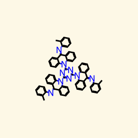 Cc1ccccc1N=c1c2ccccc2n(-c2nc(-n3c4ccccc4c(=Nc4ccccc4C)c4ccccc43)nc(-n3c4ccccc4c(=Nc4ccccc4C)c4ccccc43)n2)c2ccccc12